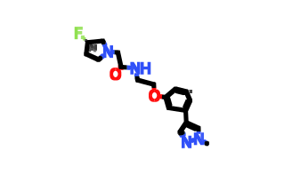 Cn1cc(-c2c[c]cc(OCCNC(=O)CN3CC[C@H](F)C3)c2)cn1